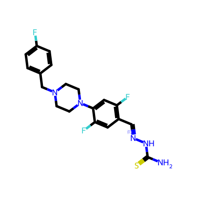 NC(=S)N/N=C/c1cc(F)c(N2CCN(Cc3ccc(F)cc3)CC2)cc1F